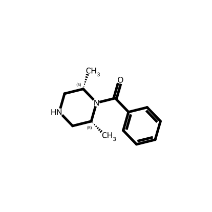 C[C@@H]1CNC[C@H](C)N1C(=O)c1ccccc1